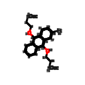 CCCCCCCCCCCCOc1c2ccccc2c(OCCCCCCCCCCCC)c2cc(CC)ccc12